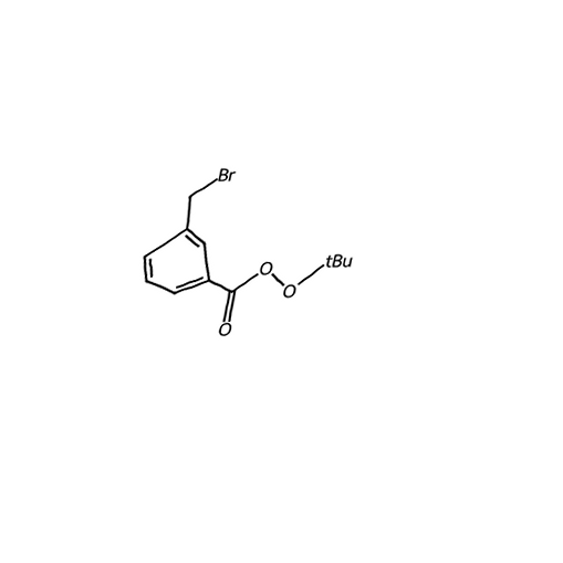 CC(C)(C)OOC(=O)c1cccc(CBr)c1